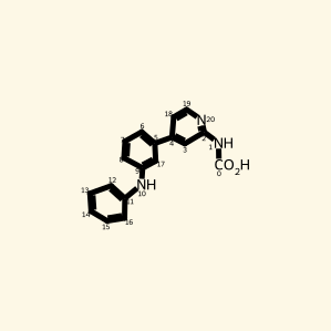 O=C(O)Nc1cc(-c2cccc(Nc3ccccc3)c2)ccn1